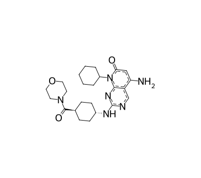 Nc1cc(=O)n(C2CCCCC2)c2nc(N[C@H]3CC[C@H](C(=O)N4CCOCC4)CC3)ncc12